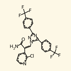 NC(=O)C(=Cn1nc(-c2ccc(C(F)(F)F)cc2)nc1-c1ccc(C(F)(F)F)cc1)c1cccnc1Cl